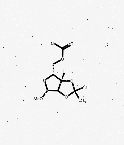 COC1O[C@H](COC(=O)Cl)[C@@H]2OC(C)(C)OC12